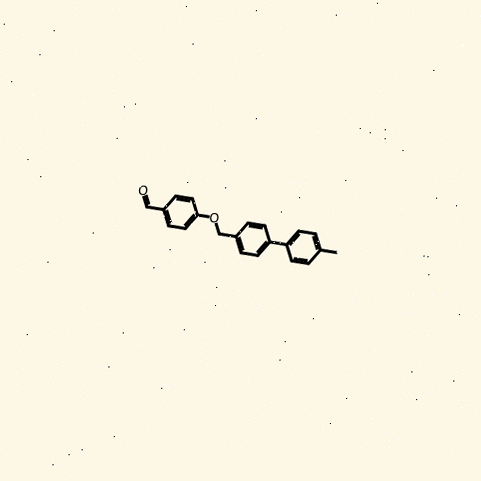 Cc1ccc(-c2ccc(COc3ccc(C=O)cc3)cc2)cc1